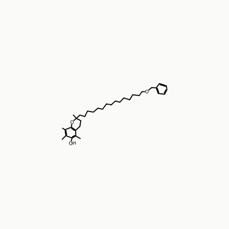 Cc1c(C)c2c(c(C)c1O)CCC(C)(CCCCCCCCCCCCCCCOCc1ccccc1)O2